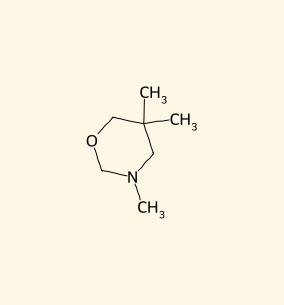 CN1COCC(C)(C)C1